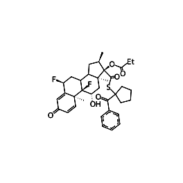 CCC(=O)O[C@]1(C(=O)SC2(C(=O)c3ccccc3)CCCC2)[C@H](C)CC2C3C[C@H](F)C4=CC(=O)C=C[C@]4(C)[C@@]3(F)[C@@H](O)C[C@@]21C